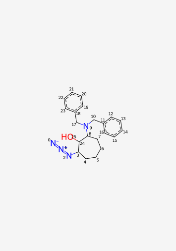 [N-]=[N+]=NC1CCCCC(N(Cc2ccccc2)Cc2ccccc2)C1O